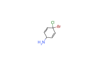 NC1C=CC(Cl)(Br)C=C1